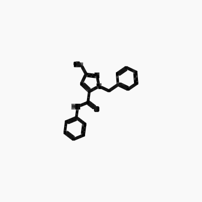 CC(C)(C)c1cc(C(=O)Nc2ccccc2)n(Cc2ccccc2)n1